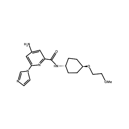 COCCO[C@H]1CC[C@H](NC(=O)c2cc(N)cc(-n3ccnc3)n2)CC1